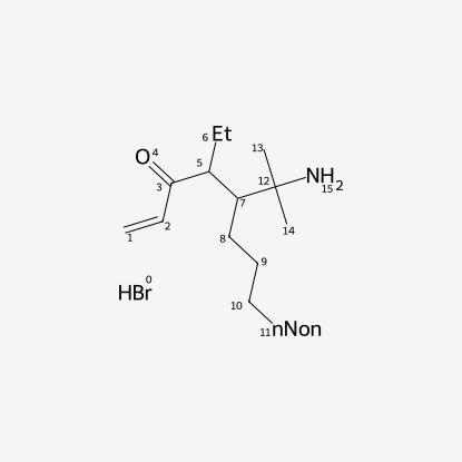 Br.C=CC(=O)C(CC)C(CCCCCCCCCCCC)C(C)(C)N